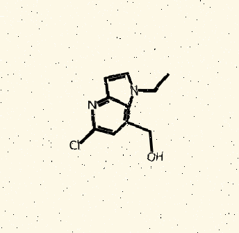 CCn1ccc2nc(Cl)cc(CO)c21